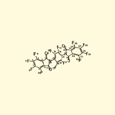 O=C1c2c(F)c(F)c(F)c(F)c2C(=O)N1c1c(F)c(F)c(N2C(=O)c3c(F)c(F)c(F)c(F)c3C2=O)c(F)c1F